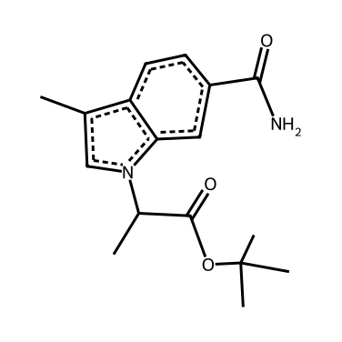 Cc1cn(C(C)C(=O)OC(C)(C)C)c2cc(C(N)=O)ccc12